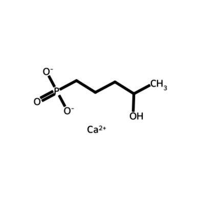 CC(O)CCCP(=O)([O-])[O-].[Ca+2]